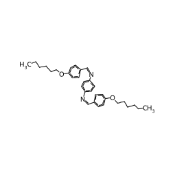 CCCCCCOc1ccc(/C=N\c2ccc(/N=C\c3ccc(OCCCCCC)cc3)cc2)cc1